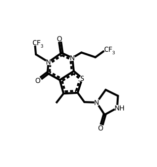 Cc1c(CN2CCNC2=O)sc2c1c(=O)n(CC(F)(F)F)c(=O)n2CCC(F)(F)F